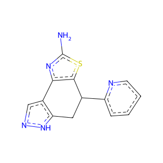 Nc1nc2c(s1)C(c1ccccn1)Cc1[nH]ncc1-2